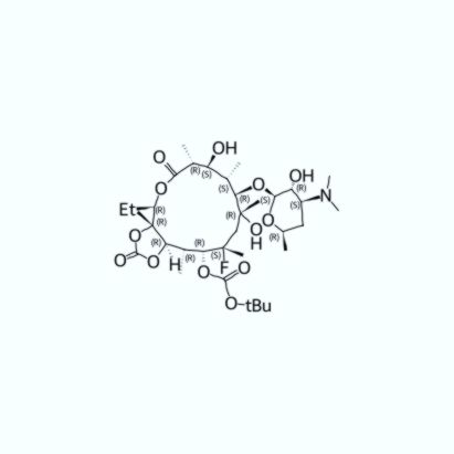 CC[C@H]1OC(=O)[C@H](C)[C@@H](O)[C@H](C)[C@@H](O[C@@H]2O[C@H](C)C[C@H](N(C)C)[C@H]2O)[C@](C)(O)C[C@](C)(F)[C@H](OC(=O)OC(C)(C)C)[C@H](C)[C@H]2OC(=O)O[C@@]21C